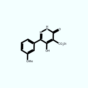 CCOC(=O)c1c(O)c(-c2cccc(OC)c2)n[nH]c1=O